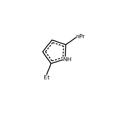 CCCc1ccc(CC)[nH]1